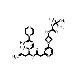 C=CCC(NC(=O)Cc1nccc(N2CC(NC(=O)OC(C)(C)C)C2)n1)N(C)/C=N\C(=C)N1CCOCC1